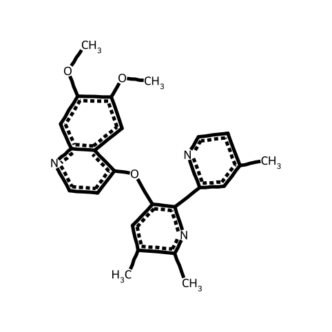 COc1cc2nccc(Oc3cc(C)c(C)nc3-c3cc(C)ccn3)c2cc1OC